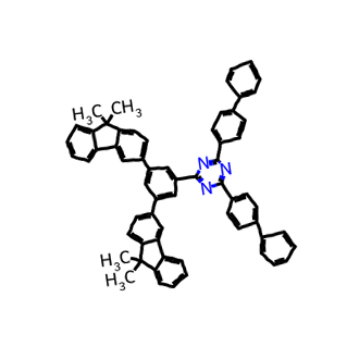 CC1(C)c2ccccc2-c2cc(-c3cc(-c4ccc5c(c4)-c4ccccc4C5(C)C)cc(-c4nc(-c5ccc(-c6ccccc6)cc5)nc(-c5ccc(-c6ccccc6)cc5)n4)c3)ccc21